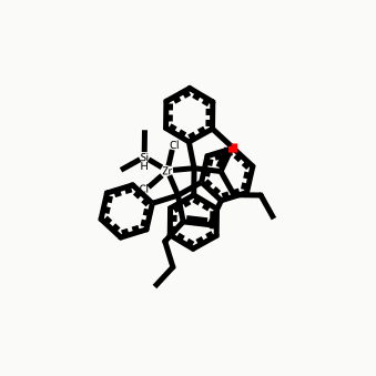 CCCC1=Cc2ccccc2[C]1(c1ccccc1)[Zr]([Cl])([Cl])([SiH](C)C)[C]1(c2ccccc2)C(CCC)=Cc2ccccc21